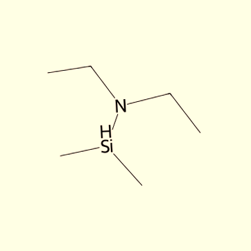 CCN(CC)[SiH](C)C